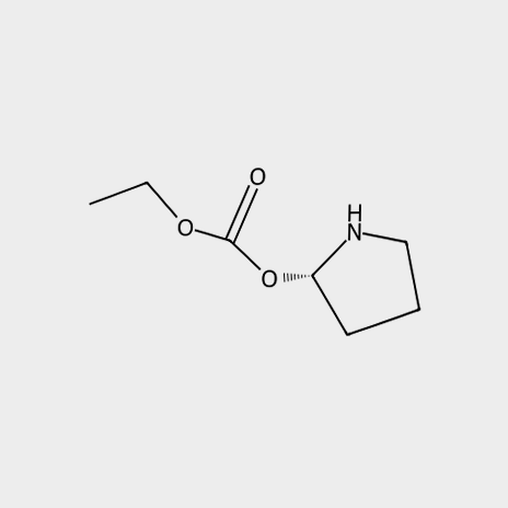 CCOC(=O)O[C@H]1CCCN1